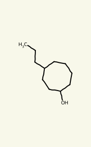 CCCC1CCCCC(O)CC1